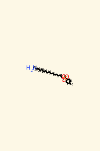 Cc1ccc(S(=O)(=O)OCCCCCCCCCCCCCCCN)cc1